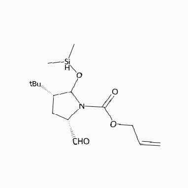 C=CCOC(=O)N1C(O[SiH](C)C)[C@@H](C(C)(C)C)C[C@H]1C=O